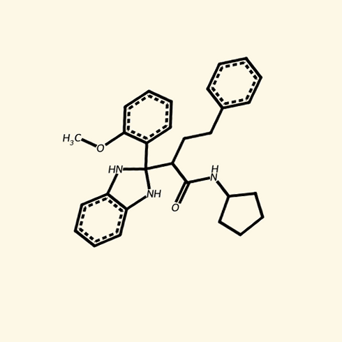 COc1ccccc1C1(C(CCc2ccccc2)C(=O)NC2CCCC2)Nc2ccccc2N1